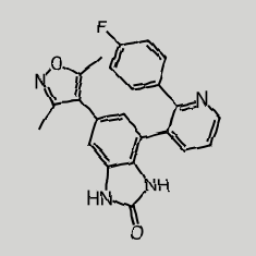 Cc1noc(C)c1-c1cc(-c2cccnc2-c2ccc(F)cc2)c2[nH]c(=O)[nH]c2c1